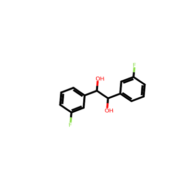 OC(c1cccc(F)c1)C(O)c1cccc(F)c1